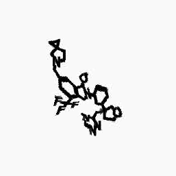 Cn1cnnc1C[C@]1(c2cccc(N3Cc4c(cc(CN5CCC6(CC6)C5)cc4C(F)(F)F)C3=O)c2)CCOC1